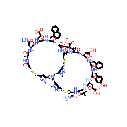 C[C@H]1CSCc2cc(n(C)n2)CN2Cc3cc(nn3C)CSC[C@@H](C(N)=O)NC(=O)[C@H](C(C)(C)C)NC(=O)[C@H](CCC(=O)O)NC(=O)[C@H](Cc3ccc(O)cc3)NC(=O)[C@H](Cc3ccccc3)NC(=O)[C@H](CC(=O)O)NC(=O)[C@@H]3CC(C(=O)O)[C@@H](NC(=O)[C@H](Cc4cccc5ccccc45)NC(=O)[C@H](CCC(=O)O)NC(=O)[C@H](CC(N)=O)NC(=O)[C@@H](C)NC1=O)C(=O)N[C@@H](CSCc1cc(n(C)n1)C2)C(=O)N3